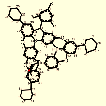 Cc1cc(C)c(C2c3cc4c(cc3B3c5cc6c(cc5Oc5cc(C7CCCCC7)cc2c53)Oc2cc(C3CCCCC3)cc3c2B6c2ccccc2O3)B2c3ccccc3Oc3cc(C5CCCCC5)cc(c32)O4)c(C)c1